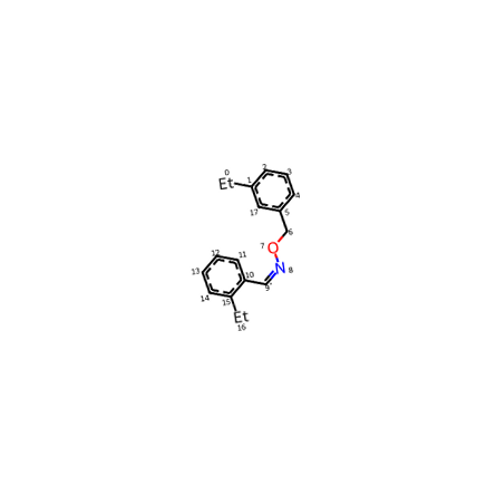 CCc1cccc(CO/N=[C]\c2ccccc2CC)c1